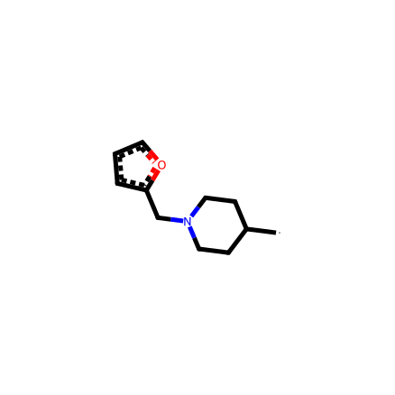 [CH2]C1CCN(Cc2ccco2)CC1